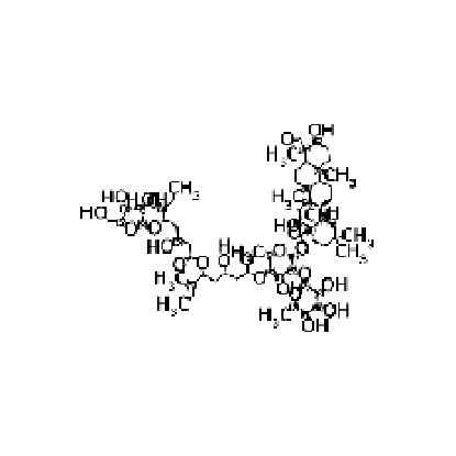 CC[C@H](C)C(CC(O)CC(=O)O[C@H]1[C@@H](O)[C@H](O[C@@H]2O[C@@H](C)[C@H](O)[C@@H](O)[C@H]2O)[C@@H](OC(=O)[C@]23CCC(C)(C)C[C@H]2C2=CCC4[C@@]5(C)CC[C@H](O)[C@@](C)(C=O)C5CC[C@@]4(C)[C@]2(C)C[C@H]3O)O[C@H]1C)OC(=O)C[C@@H](O)CC(O[C@@H]1O[C@@H](CO)[C@H](O)[C@H]1O)[C@@H](C)CC